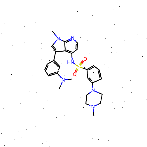 CN1CCN(c2cccc(S(=O)(=O)Nc3ccnc4c3c(-c3cccc(N(C)C)c3)cn4C)c2)CC1